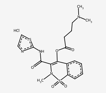 CN(C)CCCC(=O)OC1=C(C(=O)Nc2nccs2)N(C)S(=O)(=O)c2ccccc21.Cl